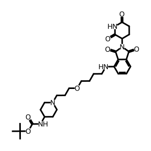 CC(C)(C)OC(=O)NC1CCN(CCCOCCCCNc2cccc3c2C(=O)N(C2CCC(=O)NC2=O)C3=O)CC1